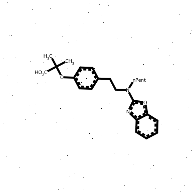 CCCCCN(CCc1ccc(OC(C)(C)C(=O)O)cc1)c1nc2ccccc2o1